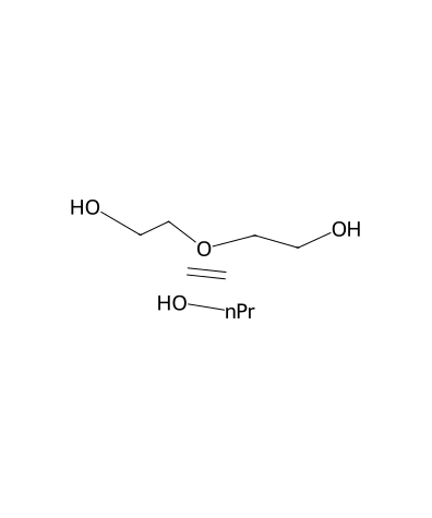 C=C.CCCO.OCCOCCO